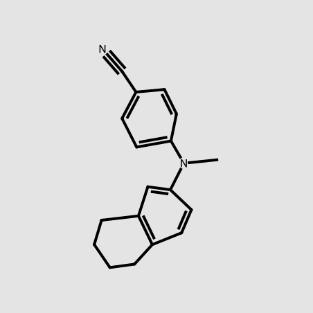 CN(c1ccc(C#N)cc1)c1ccc2c(c1)CCCC2